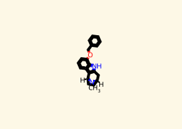 CN1[C@H]2CC[C@@H]1c1c([nH]c3c(OCc4ccccc4)cccc13)C2